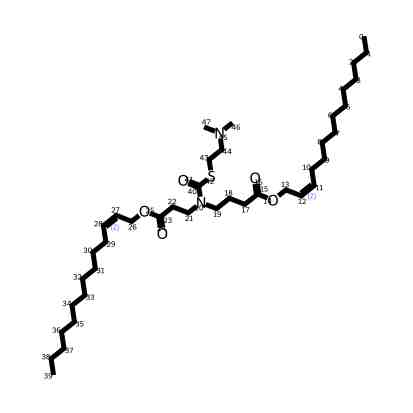 CCCCCCCCCCC/C=C\COC(=O)CCCN(CCC(=O)OC/C=C\CCCCCCCCCCC)C(=O)SCCN(C)C